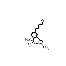 CC1C=C2c3cc(C/C=C/C=O)ccc3C(C)(C)CC21